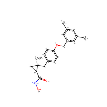 CCOC(=O)[C@@]1(Cc2ccc(OCc3cc(C(F)(F)F)cc(C(F)(F)F)c3)cc2)C[C@@H]1C(=O)NO